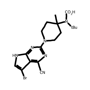 CC(C)(C)N(C(=O)O)C1(C)CCN(c2nc(C#N)c3c(Br)c[nH]c3n2)CC1